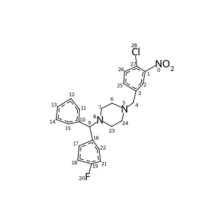 O=[N+]([O-])c1cc(CN2CCN(C(c3ccccc3)c3ccc(F)cc3)CC2)ccc1Cl